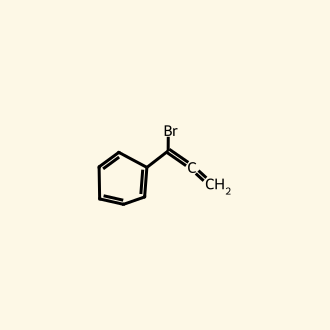 C=C=C(Br)c1ccccc1